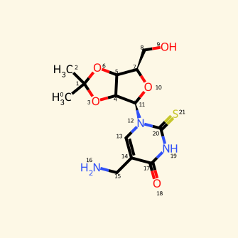 CC1(C)OC2C(O1)[C@@H](CO)O[C@H]2n1cc(CN)c(=O)[nH]c1=S